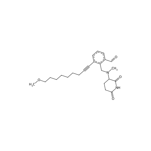 COCCCCCCCC#Cc1cccc(C=O)c1CN(C)C1CCC(=O)NC1=O